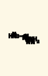 CN(C)CC(N)c1nccc(-c2nccc(C#Cc3ccc4[nH]ncc4c3)n2)n1